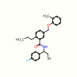 Cc1ccccc1OCc1ccc(CCC(=O)O)c(C(=O)NC(CC(C)C)c2ccc(F)cc2)c1